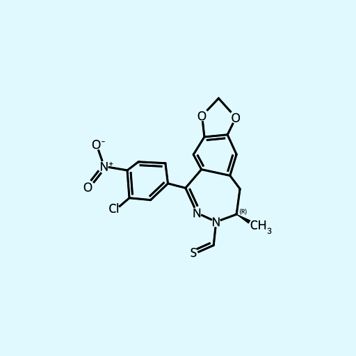 C[C@@H]1Cc2cc3c(cc2C(c2ccc([N+](=O)[O-])c(Cl)c2)=NN1C=S)OCO3